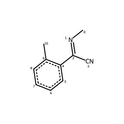 CN=C(C#N)c1ccccc1C